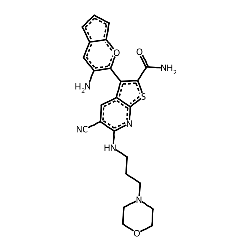 N#Cc1cc2c(-c3oc4cccc-4cc3N)c(C(N)=O)sc2nc1NCCCN1CCOCC1